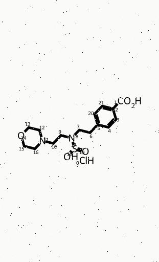 Cl.O=C(O)c1ccc(CCN(CCN2CCOCC2)[SH](=O)=O)cc1